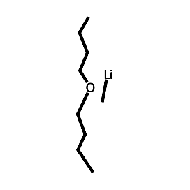 CCCCOCCCC.[Li][CH3]